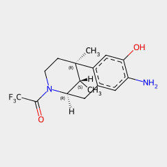 C[C@@H]1[C@H]2Cc3cc(N)c(O)cc3[C@]1(C)CCN2C(=O)C(F)(F)F